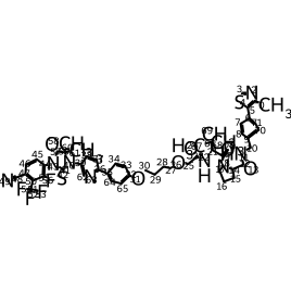 Cc1ncsc1-c1ccc(CNC(=O)C2CCCN2C(=O)[C@@H](NC(=O)COCCCCOc2ccc(-c3ccc(N4C(=S)N(c5ccc(C#N)c(C(F)(F)F)c5F)C(=O)C4(C)C)cn3)cc2)C(C)(C)C)cc1